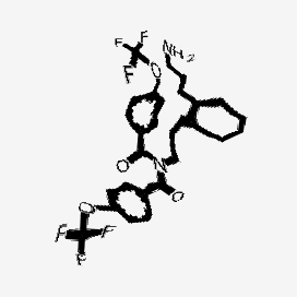 NCCCC1CCCCC1CCN(C(=O)c1ccc(OC(F)(F)F)cc1)C(=O)c1ccc(OC(F)(F)F)cc1